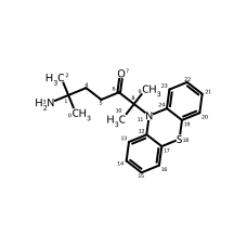 CC(C)(N)CCC(=O)C(C)(C)N1c2ccccc2Sc2ccccc21